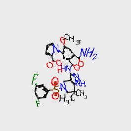 COc1cc(C(N)=O)c(C(=O)Nc2n[nH]c3c2CN(S(=O)(=O)c2cc(F)cc(F)c2)CC3(C)C)cc1-n1cccc1C(=O)O